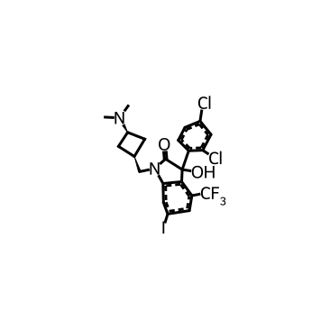 CN(C)[C@H]1C[C@@H](CN2C(=O)C(O)(c3ccc(Cl)cc3Cl)c3c2cc(I)cc3C(F)(F)F)C1